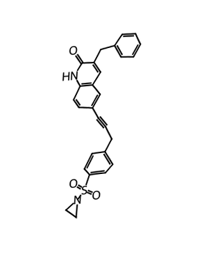 O=c1[nH]c2ccc(C#CCc3ccc(S(=O)(=O)N4CC4)cc3)cc2cc1Cc1ccccc1